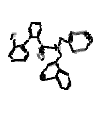 O=C(c1ccccc1-c1ccccc1F)N(Cc1ccccc1)Cc1cccc2ccccc12